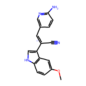 COc1ccc2[nH]cc(/C(C#N)=C/c3ccc(N)nc3)c2c1